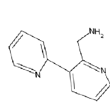 NCc1ncccc1-c1ccccn1